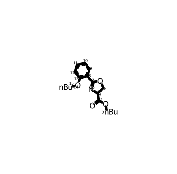 CCCCOC(=O)C1COC(c2ccccc2OCCCC)=N1